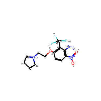 Nc1c([N+](=O)[O-])ccc(OCCN2CCCC2)c1C(F)(F)F